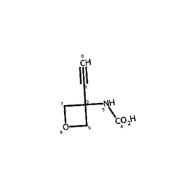 C#CC1(NC(=O)O)COC1